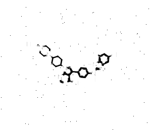 Cc1cc(Cl)cc2nc(Nc3ccc(-c4cn(C5CCC(N6CCN(C)CC6)CC5)c5ncnc(N)c45)cc3)[nH]c12